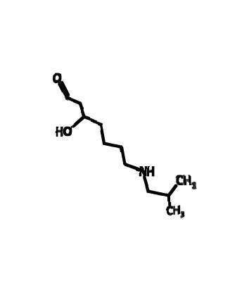 CC(C)CNCCCCC(O)CC=O